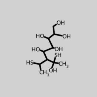 CC(S)C(C(O)C(O)C(O)C(O)CO)C(C)(O)S